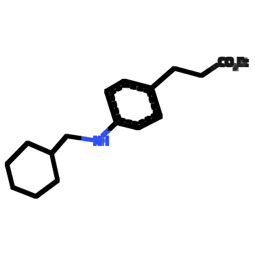 CCOC(=O)CCc1ccc(NCC2CCCCC2)cc1